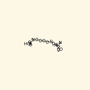 CCOC(=O)c1cc(C#N)c(/N=N/c2ccc(N(CC)CCOCCOCCOCCOCCN(CC)CCCS(=O)(=O)O)cc2C)s1